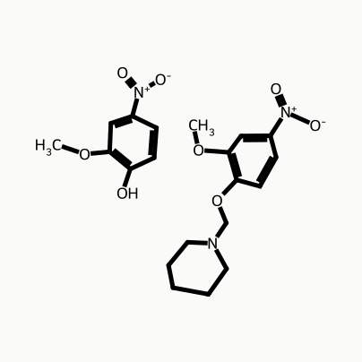 COc1cc([N+](=O)[O-])ccc1O.COc1cc([N+](=O)[O-])ccc1OCN1CCCCC1